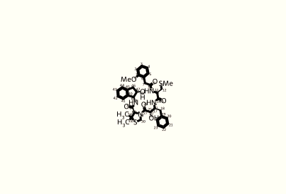 COc1ccccc1CC(=O)N[C@@H](CSC)C(=O)N[C@@H](Cc1ccccc1)[C@H](O)C(=O)N1CSC(C)(C)[C@H]1C(=O)N[C@H]1c2ccccc2C[C@H]1O